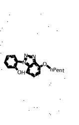 CCCCCOc1cccc2c1nnn2-c1ccccc1O